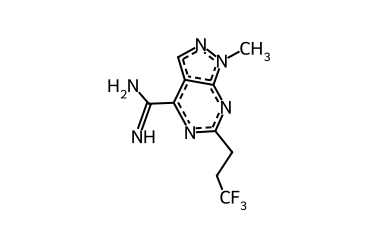 Cn1ncc2c(C(=N)N)nc(CCC(F)(F)F)nc21